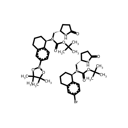 CC(C)(C)OC(=O)N(C[C@@H]1CCC(=O)N1)[C@@H]1CCCc2cc(B3OC(C)(C)C(C)(C)O3)ccc21.CC(C)(C)OC(=O)N(C[C@@H]1CCC(=O)N1)[C@@H]1CCCc2cc(Br)ccc21